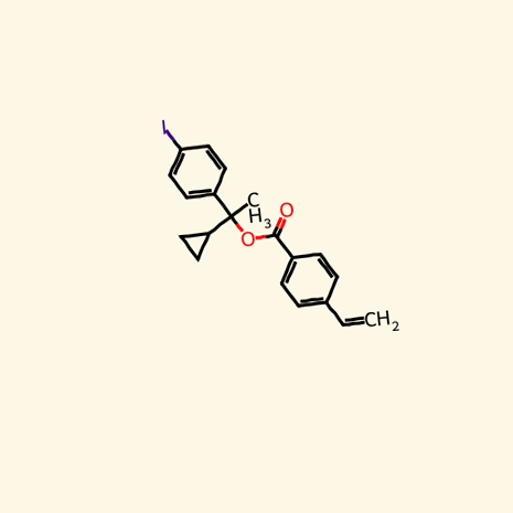 C=Cc1ccc(C(=O)OC(C)(c2ccc(I)cc2)C2CC2)cc1